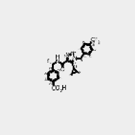 C[C@H](NC(=O)c1nnn(Cc2ccc(C(F)(F)F)cc2)c1C1CC1)c1ccc(C(=O)O)cc1